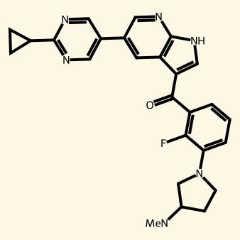 CNC1CCN(c2cccc(C(=O)c3c[nH]c4ncc(-c5cnc(C6CC6)nc5)cc34)c2F)C1